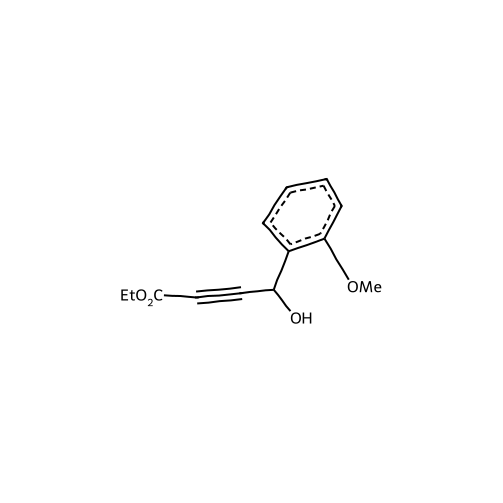 CCOC(=O)C#CC(O)c1ccccc1OC